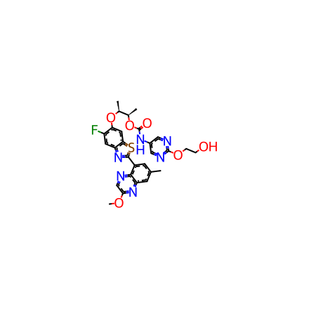 COc1cnc2c(-c3nc4cc(F)c(O[C@@H](C)[C@@H](C)OC(=O)Nc5cnc(OCCO)nc5)cc4s3)cc(C)cc2n1